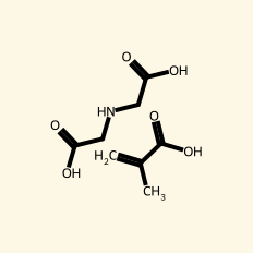 C=C(C)C(=O)O.O=C(O)CNCC(=O)O